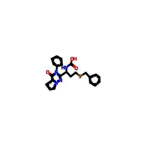 O=C(O)NC(CCSCc1ccccc1)c1nn2cccc2c(=O)n1-c1ccccc1